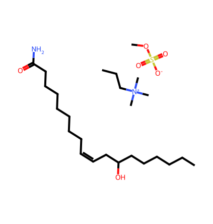 CCCCCCC(O)C/C=C\CCCCCCCC(N)=O.CCC[N+](C)(C)C.COS(=O)(=O)[O-]